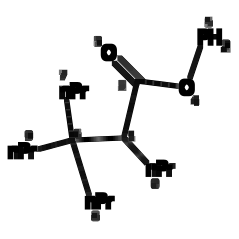 CCCC(C(=O)OP)C(CCC)(CCC)CCC